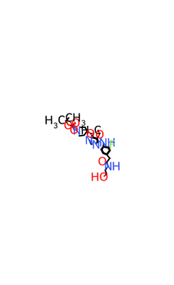 COc1c(Nc2ccc(CC(=O)NCCO)cc2F)ncnc1OC1CCN(OC(=O)OC(C)C)CC1